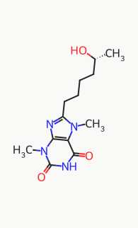 C[C@@H](O)CCCCc1nc2c(c(=O)[nH]c(=O)n2C)n1C